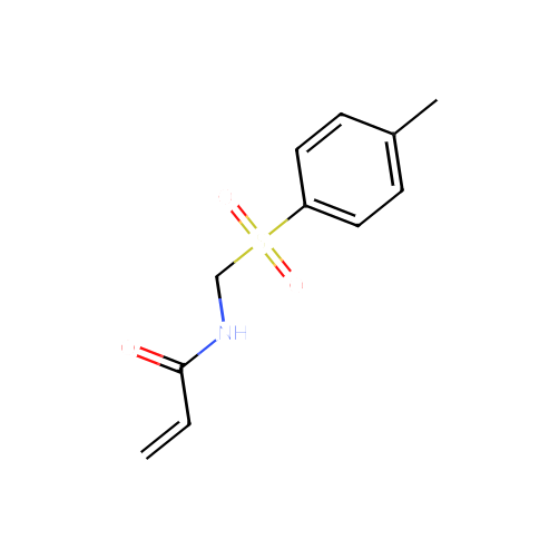 C=CC(=O)NCS(=O)(=O)c1ccc(C)cc1